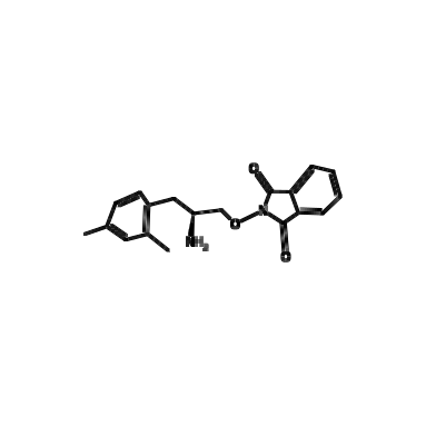 Cc1ccc(C[C@H](N)CON2C(=O)c3ccccc3C2=O)c(C)c1